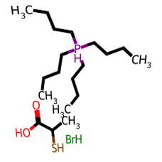 Br.CC(S)C(=O)O.CCCC[PH](CCCC)(CCCC)CCCC